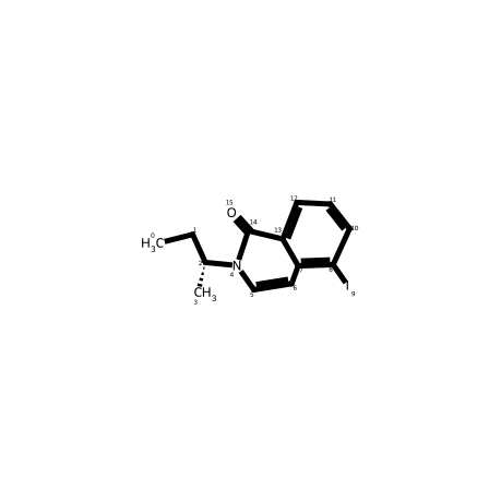 CC[C@@H](C)n1ccc2c(I)cccc2c1=O